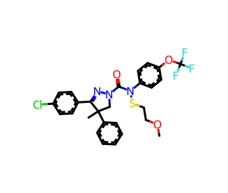 COCCSN(C(=O)N1CC(C)(c2ccccc2)C(c2ccc(Cl)cc2)=N1)c1ccc(OC(F)(F)F)cc1